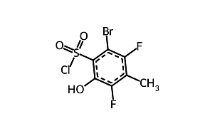 Cc1c(F)c(O)c(S(=O)(=O)Cl)c(Br)c1F